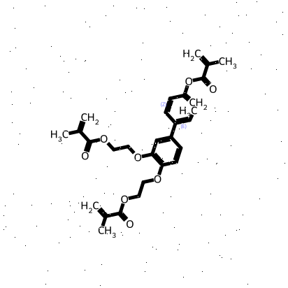 C=C(/C=C\C(=C/C)c1ccc(OCCOC(=O)C(=C)C)c(OCCOC(=O)C(=C)C)c1)OC(=O)C(=C)C